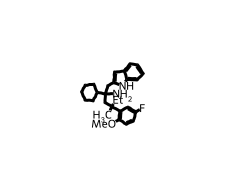 CCC(C)(CC(N)(Cc1cc2ccccc2[nH]1)C1CCCCC1)c1cc(F)ccc1OC